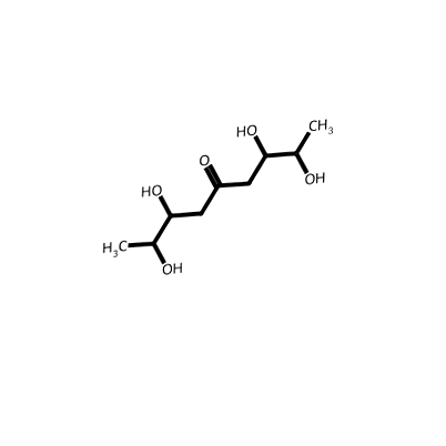 CC(O)C(O)CC(=O)CC(O)C(C)O